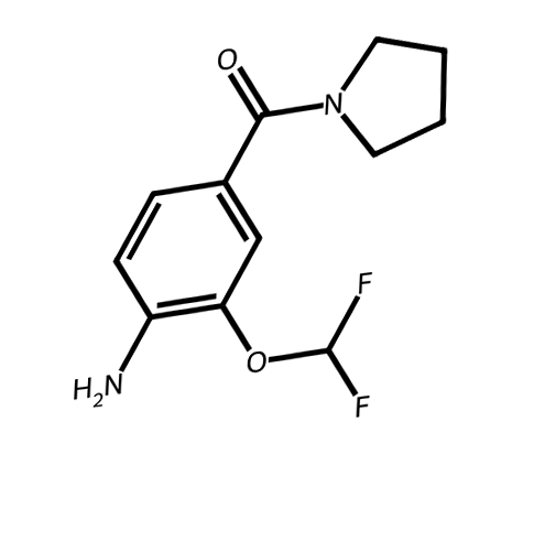 Nc1ccc(C(=O)N2CCCC2)cc1OC(F)F